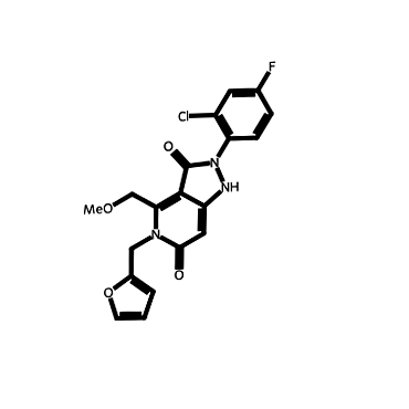 COCc1c2c(=O)n(-c3ccc(F)cc3Cl)[nH]c2cc(=O)n1Cc1ccco1